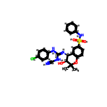 CC1(C)Oc2ccc(S(=O)(=O)Nc3ccccc3)cc2[C@@H](N=C(NC#N)Nc2ccc(Cl)cc2)[C@@H]1O